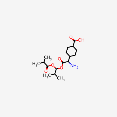 CC(C)C(=O)OC(OC(=O)C(N)C1CCC(C(=O)O)CC1)C(C)C